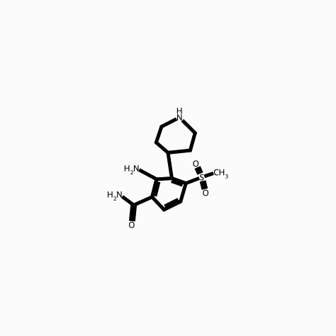 CS(=O)(=O)c1ccc(C(N)=O)c(N)c1C1CCNCC1